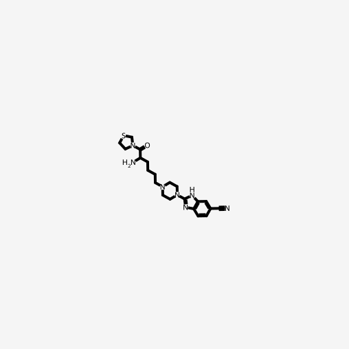 N#Cc1ccc2nc(N3CCN(CCCCC(N)C(=O)N4CCSC4)CC3)[nH]c2c1